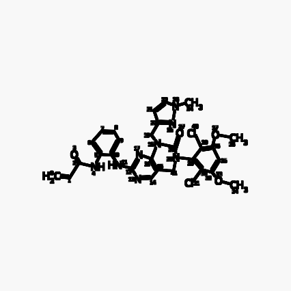 C=CC(=O)Nc1ccccc1Nc1ncc2c(n1)N(Cc1ccn(C)n1)C(=O)N(c1c(Cl)c(OC)cc(OC)c1Cl)C2